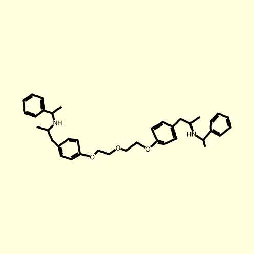 CC(Cc1ccc(OCCOCCOc2ccc(CC(C)NC(C)c3ccccc3)cc2)cc1)NC(C)c1ccccc1